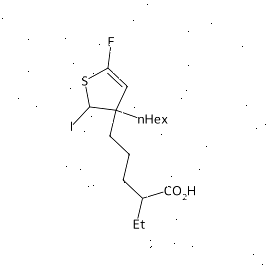 CCCCCCC1(CCCC(CC)C(=O)O)C=C(F)SC1I